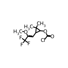 COC(=CC1C(OC(=O)Cl)C1(C)C)C(F)(F)F